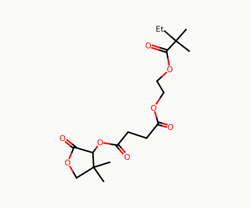 CCC(C)(C)C(=O)OCCOC(=O)CCC(=O)OC1C(=O)OCC1(C)C